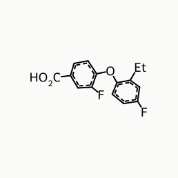 CCc1cc(F)ccc1Oc1ccc(C(=O)O)cc1F